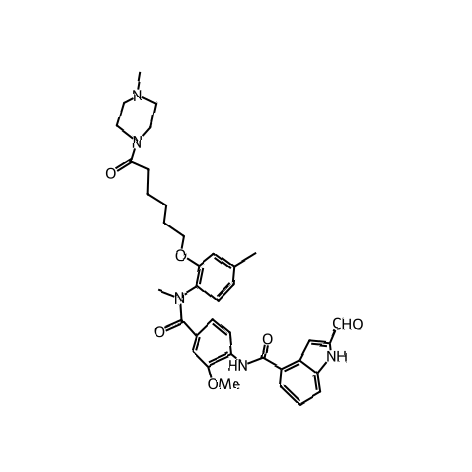 COc1cc(C(=O)N(C)c2ccc(C)cc2OCCCCCC(=O)N2CCN(C)CC2)ccc1NC(=O)c1cccc2[nH]c(C=O)cc12